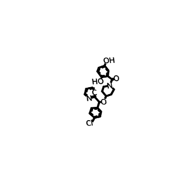 O=C(c1cc(O)ccc1O)N1CCC(OC(c2ccc(Cl)cc2)c2ccccn2)CC1